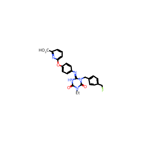 CCn1c(=O)[nH]/c(=N\c2ccc(Oc3cccc(C(=O)O)n3)cc2)n(Cc2ccc(CF)cc2)c1=O